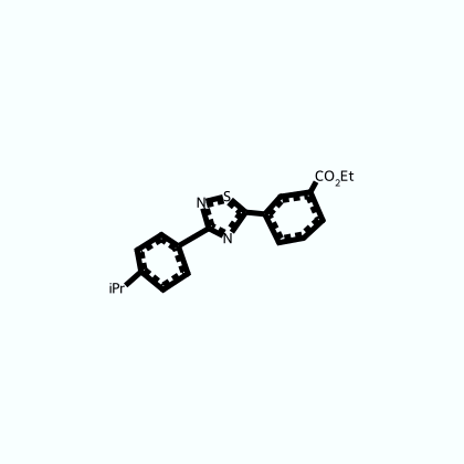 CCOC(=O)c1cccc(-c2nc(-c3ccc(C(C)C)cc3)ns2)c1